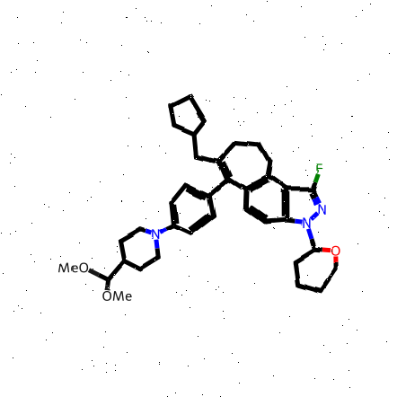 COC(OC)C1CCN(c2ccc(C3=C(CC4CCCC4)CCCc4c3ccc3c4c(F)nn3C3CCCCO3)cc2)CC1